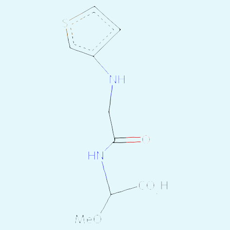 COC(NC(=O)CNc1ccsc1)C(=O)O